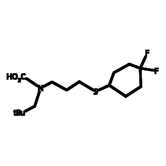 CC(C)(C)CN(CCCSC1CCC(F)(F)CC1)C(=O)O